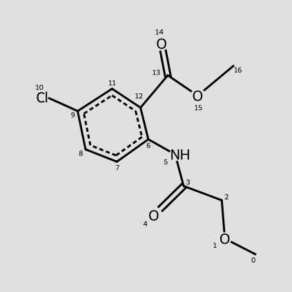 COCC(=O)Nc1ccc(Cl)cc1C(=O)OC